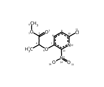 COC(=O)C(C)Oc1ccc(Cl)nc1[N+](=O)[O-]